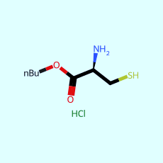 CCCCOC(=O)[C@@H](N)CS.Cl